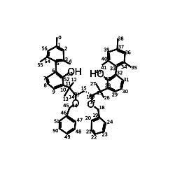 Cc1cc(C)c(-c2cccc(C(C)(C)[C@@H](C[C@@H](OCc3ccccc3)C(C)(C)c3cccc(-c4c(C)cc(C)cc4C)c3O)OCc3ccccc3)c2O)c(C)c1